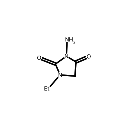 CCN1CC(=O)N(N)C1=O